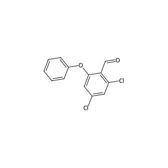 O=Cc1c(Cl)cc(Cl)cc1Oc1ccccc1